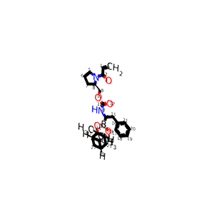 C=CC(=O)N1CCC[C@@H]1COC(=O)NC(Cc1ccccc1)B1O[C@@H]2C[C@@H]3C[C@@H](C3(C)C)[C@]2(C)O1